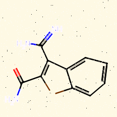 Cl.N=C(N)c1c(C(N)=O)sc2ccccc12